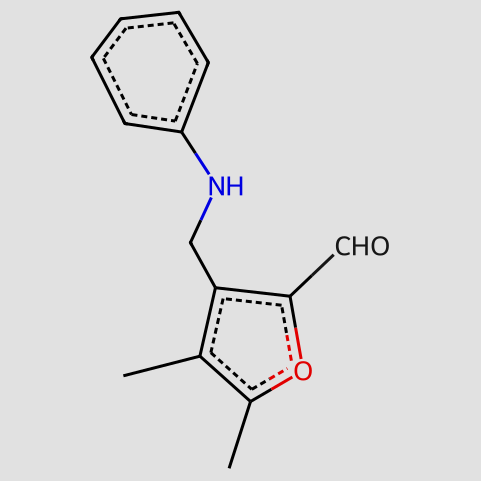 Cc1oc(C=O)c(CNc2ccccc2)c1C